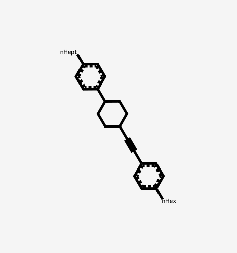 CCCCCCCc1ccc(C2CCC(C#Cc3ccc(CCCCCC)cc3)CC2)cc1